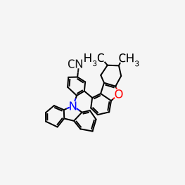 CC1Cc2oc3cccc(-c4cc(C#N)ccc4-n4c5ccccc5c5ccccc54)c3c2CC1C